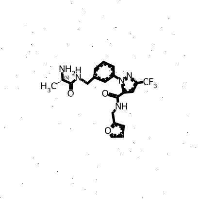 C[C@H](N)C(=O)NCc1cccc(-n2nc(C(F)(F)F)cc2C(=O)NCc2ccco2)c1